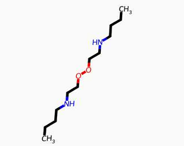 CCCCNCCOOCCNCCCC